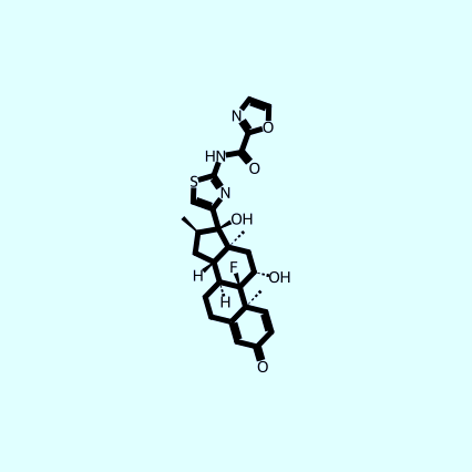 C[C@@H]1C[C@H]2[C@@H]3CCC4=CC(=O)C=C[C@]4(C)[C@@]3(F)[C@@H](O)C[C@]2(C)[C@@]1(O)c1csc(NC(=O)c2ncco2)n1